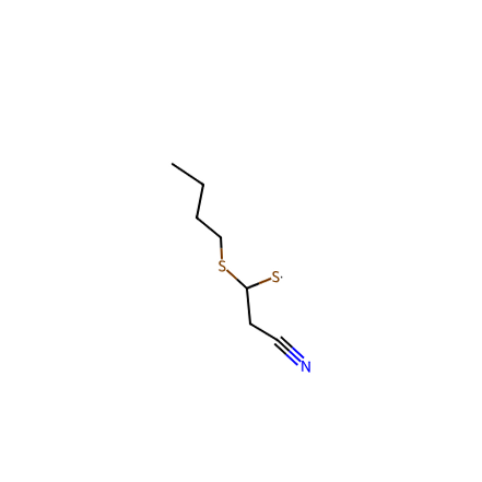 CCCCSC([S])CC#N